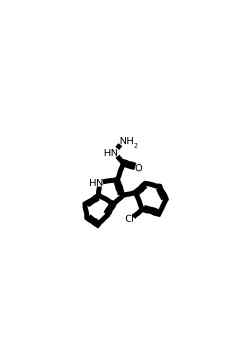 NNC(=O)c1[nH]c2ccccc2c1-c1ccccc1Cl